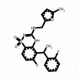 Cc1ccc(CNC2=NS(=O)(=O)c3ccc(F)c(C(C)c4ccccc4F)c3N2)o1